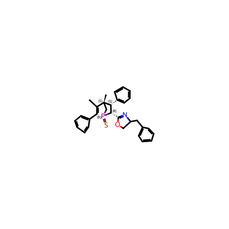 CC1=C(c2ccccc2)[P@@]2(=S)C[C@@]1(C)[C@H](c1ccccc1)[C@@H]2C1=NC(Cc2ccccc2)CO1